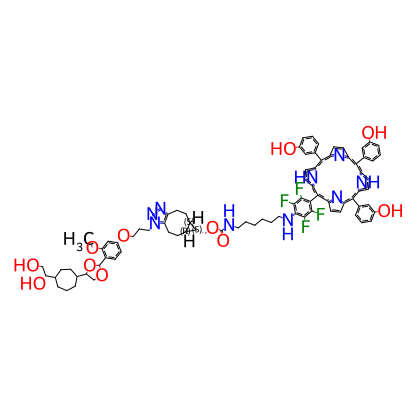 COc1cc(OCCCn2nnc3c2CC[C@@H]2[C@H](CC3)[C@@H]2COC(=O)NCCCCCCNc2c(F)c(F)c(-c3c4nc(c(-c5cccc(O)c5)c5ccc([nH]5)c(-c5cccc(O)c5)c5nc(c(-c6cccc(O)c6)c6ccc3[nH]6)C=C5)C=C4)c(F)c2F)ccc1C1OCC(C2CCCC(C(O)CO)CC2)O1